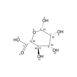 O=C(O)[C@@H]1O[C@H](O)[C@H](O)[C@H](O)[C@H]1O